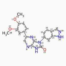 COc1ccc(-c2cnc3[nH]c(=O)n(-c4ccc5cn[nH]c5c4)c3n2)cc1OC